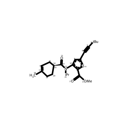 COC(=O)c1sc(C#CC(C)(C)C)cc1N(C(=O)[C@@H]1CC=C(C)CC1)C(C)C